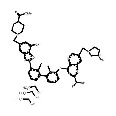 COC(=O)C1CCN(Cc2cc(C#N)c3oc(-c4cccc(-c5cccc(Nc6nc(C(F)F)nc7cc(CN8CC[C@@H](O)C8)cnc67)c5C)c4C)nc3c2)CC1.O=C(O)CO.O=C(O)CO.O=C(O)CO